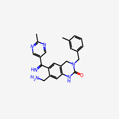 Cc1cccc(CN2Cc3cc(C(=N)c4cnc(C)nc4)c(CN)cc3NC2=O)c1